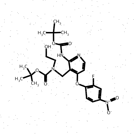 CC(C)(C)OC(=O)Nc1nccc(Oc2ccc([N+](=O)[O-])cc2F)c1CN(CCO)C(=O)OC(C)(C)C